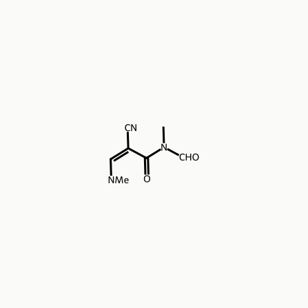 CN/C=C(/C#N)C(=O)N(C)C=O